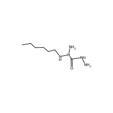 CCCCCCNN(N)C(=O)NN